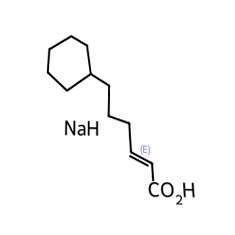 O=C(O)/C=C/CCCC1CCCCC1.[NaH]